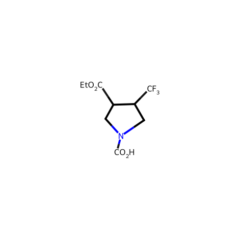 CCOC(=O)C1CN(C(=O)O)CC1C(F)(F)F